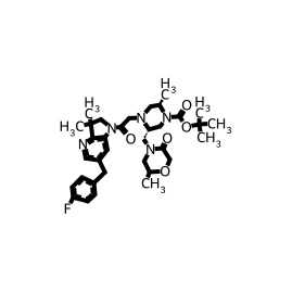 CC1CN(C[C@H]2CN(C(=O)OC(C)(C)C)[C@H](C)CN2CC(=O)N2CC(C)(C)c3ncc(Cc4ccc(F)cc4)cc32)C(=O)CO1